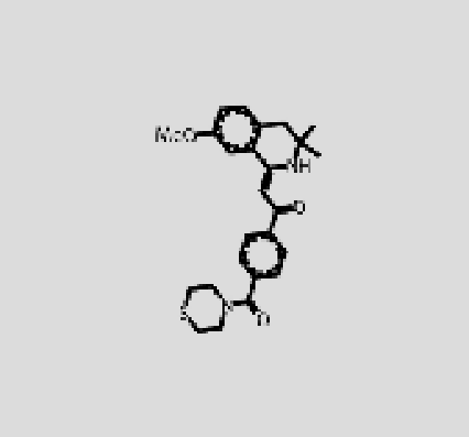 COc1ccc2c(c1)C(=CC(=O)c1ccc(C(=O)N3CCSCC3)cc1)NC(C)(C)C2